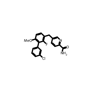 COc1ccc(Cc2ccc(C(N)=O)nc2)c(F)c1-c1cccc(Cl)c1